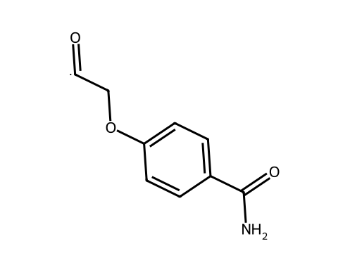 NC(=O)c1ccc(OC[C]=O)cc1